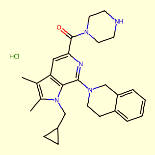 Cc1c(C)n(CC2CC2)c2c(N3CCc4ccccc4C3)nc(C(=O)N3CCNCC3)cc12.Cl